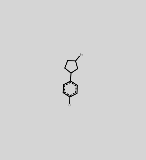 CCC1CCC(c2ccc(Cl)cc2)C1